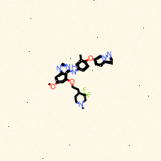 COc1cc(OCCC2CCN(C)CC2(F)F)c2c(Nc3ccc(Oc4ccc5ccnn5c4)c(C)c3)ncnc2c1